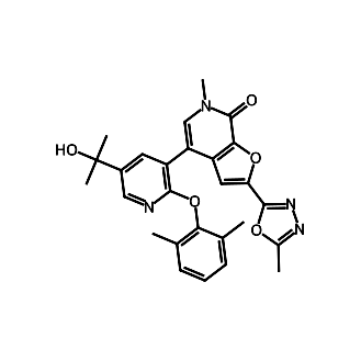 Cc1nnc(-c2cc3c(-c4cc(C(C)(C)O)cnc4Oc4c(C)cccc4C)cn(C)c(=O)c3o2)o1